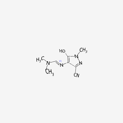 CN(C)/C=N/c1c(C#N)nn(C)c1O